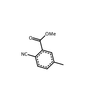 COC(=O)c1cc(C)ccc1C#N